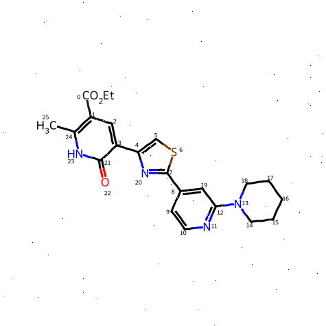 CCOC(=O)c1cc(-c2csc(-c3ccnc(N4CCCCC4)c3)n2)c(=O)[nH]c1C